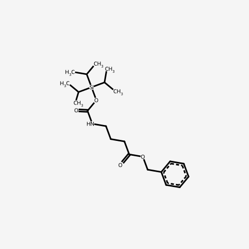 CC(C)[Si](OC(=O)NCCCC(=O)OCc1ccccc1)(C(C)C)C(C)C